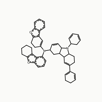 C1=CCC(N2C3C=CC(N(C4=Cc5c(oc6ccccc56)CC4)c4cccc5oc6c(c45)CCCC6)CC3C3C=C(C4=CCCC=C4)CCC32)C=C1